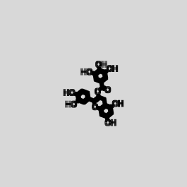 O=C(OC1=C(c2ccc(O)c(O)c2)Oc2cc(O)cc(O)c2C1)c1cc(O)c(O)c(O)c1